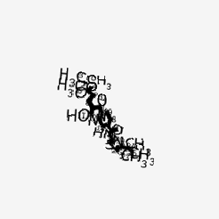 CC(C)(C)OC(=O)C=Cc1c(O)nc2cc(C(=O)Nc3nc(C(C)(C)C)cs3)ccn2c1=O